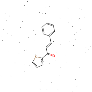 O=C(C=Cc1ccccc1)c1cccs1